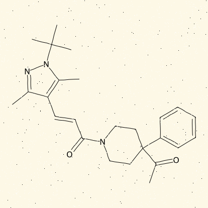 CC(=O)C1(c2ccccc2)CCN(C(=O)C=Cc2c(C)nn(C(C)(C)C)c2C)CC1